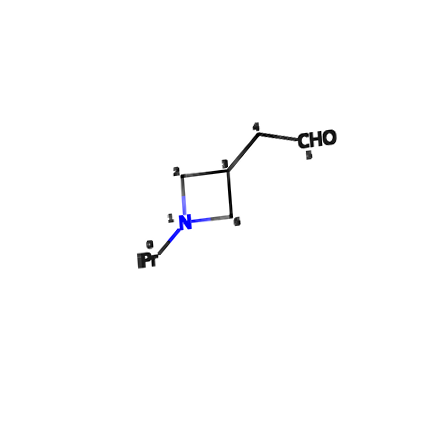 CC(C)N1CC(CC=O)C1